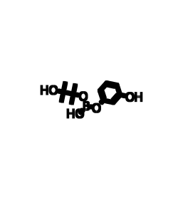 CC(C)(O)C(C)(C)OB(O)Oc1cccc(O)c1